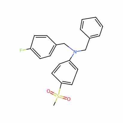 CS(=O)(=O)c1ccc(N(Cc2ccccc2)Cc2ccc(F)cc2)cc1